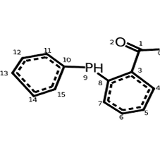 CC(=O)c1ccccc1Pc1ccccc1